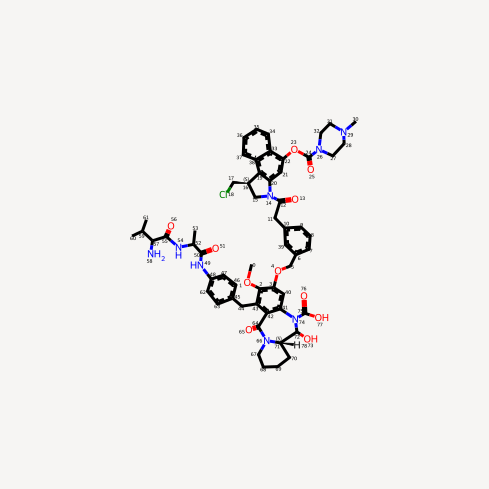 COc1c(OCc2cccc(CC(=O)N3C[C@@H](CCl)c4c3cc(OC(=O)N3CCN(C)CC3)c3ccccc43)c2)cc2c(c1Cc1ccc(NC(=O)C(C)NC(=O)C(N)C(C)C)cc1)C(=O)N1CCCC[C@H]1C(O)N2C(=O)O